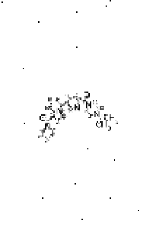 CC(C)N1CCN(C(=O)c2ccc(-c3cccc4c(C(=O)N5CCCCC5)cnn34)cn2)CC1